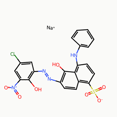 O=[N+]([O-])c1cc(Cl)cc(N=Nc2ccc3c(S(=O)(=O)[O-])ccc(Nc4ccccc4)c3c2O)c1O.[Na+]